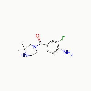 CC1(C)CN(C(=O)c2ccc(N)c(F)c2)CCN1